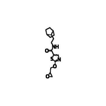 O=C(NCCC1C2CCC1CC2)c1cnc(OCC2CO2)s1